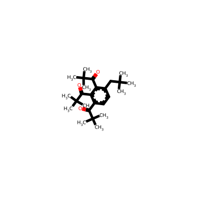 CC(C)(C)Cc1ccc(C(=O)C(C)(C)C)c(C(=O)C(C)(C)C)c1C(=O)C(C)(C)C